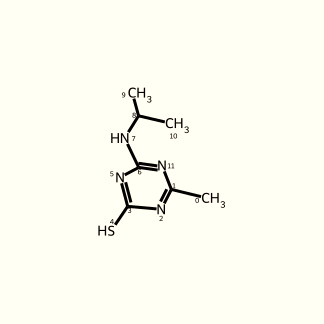 Cc1nc(S)nc(NC(C)C)n1